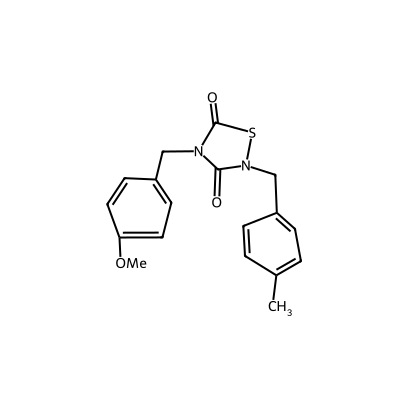 COc1ccc(Cn2c(=O)sn(Cc3ccc(C)cc3)c2=O)cc1